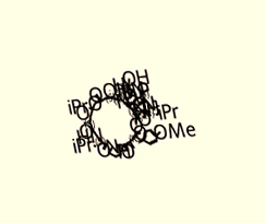 CC[C@H](C)[C@H]1NC(=O)[C@@H](NC(=O)[C@@H](CC(C)C)N(C)C(=O)[C@@H]2CCCN2C(=O)[C@H](C)O)[C@@H](C)OC(=O)[C@H](Cc2ccc(OC)cc2)C(C)C(=O)[C@@H]2CCCN2C(=O)[C@H](CC(C)C)NC(=O)[C@@H](C)C(=O)C(C(C)C)OC(=O)C[C@@H]1O